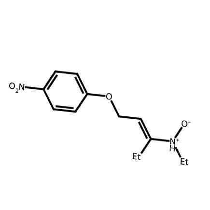 CC/C(=C\COc1ccc([N+](=O)[O-])cc1)[NH+]([O-])CC